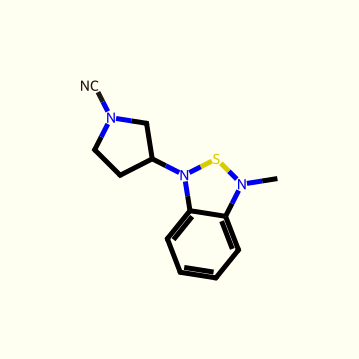 CN1SN(C2CCN(C#N)C2)c2ccccc21